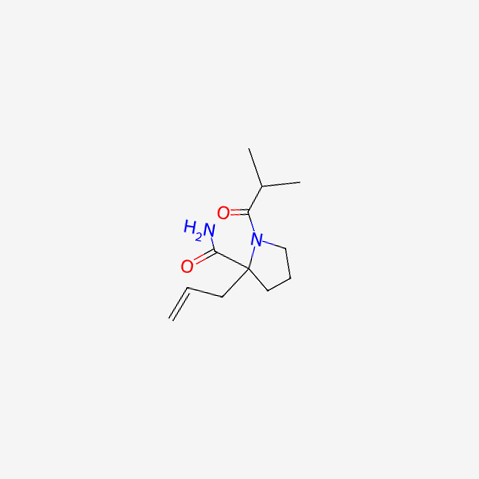 C=CCC1(C(N)=O)CCCN1C(=O)C(C)C